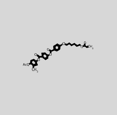 C=CC(=O)OCCCCCCOc1ccc(C(=O)Oc2ccc(C(=O)Oc3ccc(OC(C)=O)c(C)c3)cc2)cc1